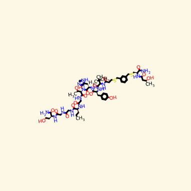 CCC[C@H](NC(=O)CNC(=O)[C@@H](NC(=O)[C@H](Cc1cnc[nH]1)NC(=O)[C@H](Cc1ccc(O)cc1)NC(=O)C(NC(=O)CCSCc1cccc(CSC[C@H](NC(=O)C[C@@H](C)O)C(N)=O)c1)C(C)(C)C)[C@@H](C)O)C(=O)NCC(=O)NCC(=O)N[C@@H](CCO)C(N)=O